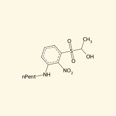 CCCCCNc1cccc(S(=O)(=O)C(C)O)c1[N+](=O)[O-]